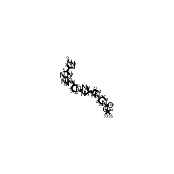 Cn1cc(-c2cnc3nnn(CC4CCCN(c5ncc(-c6ccn(C7CCN(C(=O)OC(C)(C)C)CC7)n6)cn5)C4)c3n2)cn1